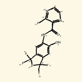 O=C(Nc1cc2c(cc1O)C(F)(F)OC2(F)F)c1nccnc1F